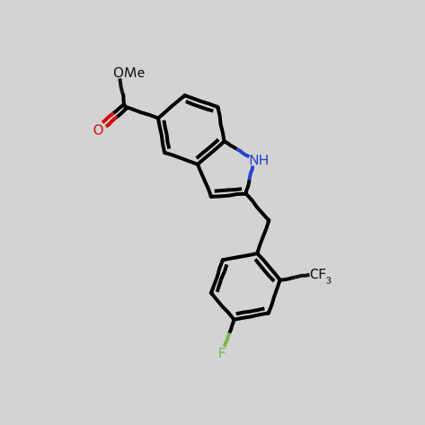 COC(=O)c1ccc2[nH]c(Cc3ccc(F)cc3C(F)(F)F)cc2c1